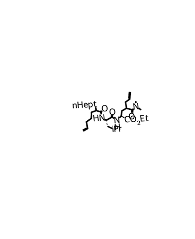 C=CCCCC(CCCCCCC)C(=O)N[C@@H](CC(C)C)C(=O)N[C@@H](CC(CC=C)C(=O)N(C)C)C(=O)OCC